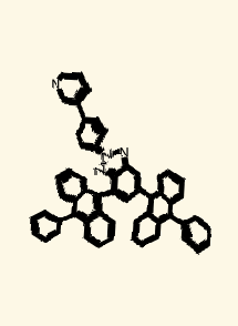 c1ccc(-c2c3ccccc3c(-c3cc(-c4c5ccccc5c(-c5ccccc5)c5ccccc45)c4nn(-c5ccc(-c6cccnc6)cc5)nc4c3)c3ccccc23)cc1